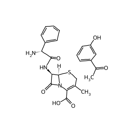 CC(=O)c1cccc(O)c1.CC1=C(C(=O)O)N2C(=O)[C@@H](NC(=O)[C@H](N)c3ccccc3)[C@H]2SC1